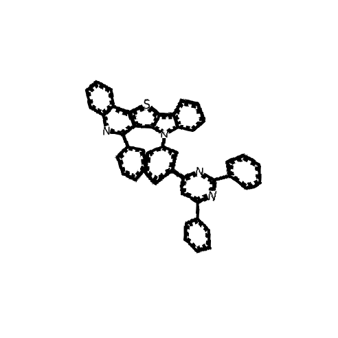 c1ccc(-c2cc(-c3cccc(-n4c5ccccc5c5sc6c7ccccc7nc(-c7ccccc7)c6c54)c3)nc(-c3ccccc3)n2)cc1